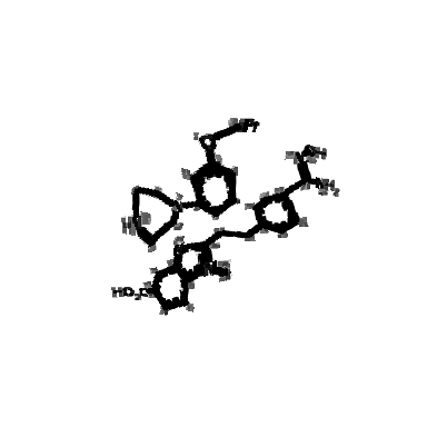 CC(C)Oc1cccc(N2CCNCC2)c1.Cn1c(CCc2ccc(C(N)=NO)cc2)nc2cc(C(=O)O)ccc21